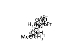 CCCn1c(=O)c2c(nc(C=Cc3ccc(OC)c(C)c3C)n2C)n(CCC)c1=O